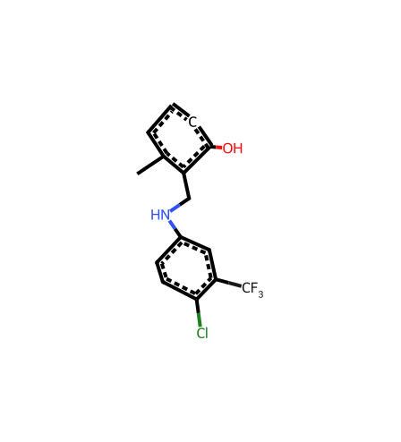 Cc1cccc(O)c1CNc1ccc(Cl)c(C(F)(F)F)c1